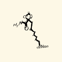 CCCCCCCCCCCCCCCCC1(C(N)=O)OCO1